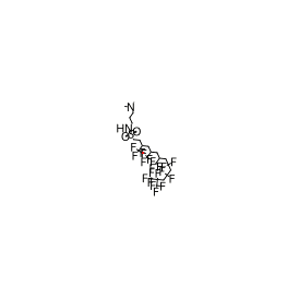 CN(C)CCCNS(=O)(=O)CCC(CC(CC(CC(F)(F)CC(F)(F)CC(F)(C(F)(F)F)C(F)(F)F)C(F)(F)F)C(F)(F)F)C(F)(F)F